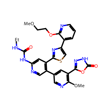 CCNC(=O)Nc1cc(-c2nc(-c3cccnc3OCCOC)cs2)c(-c2cnc(OC)c(-c3n[nH]c(=O)o3)c2)cn1